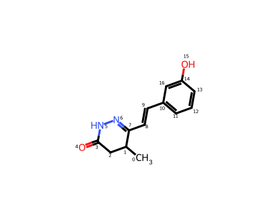 CC1CC(=O)NN=C1C=Cc1cccc(O)c1